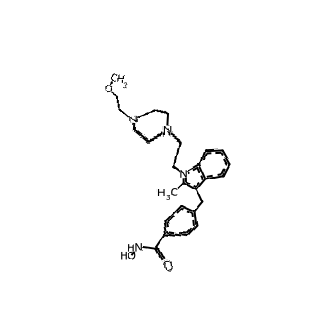 COCCN1CCN(CCn2c(C)c(Cc3ccc(C(=O)NO)cc3)c3ccccc32)CC1